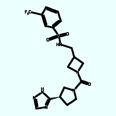 O=C(N1CC(CNS(=O)(=O)c2cccc(C(F)(F)F)c2)C1)N1CC[C@H](c2ncn[nH]2)C1